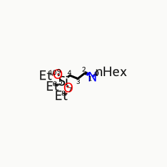 CCCCCCN=CCC[Si](CC)(OCC)OCC